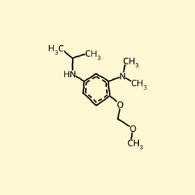 COCOc1ccc(NC(C)C)cc1N(C)C